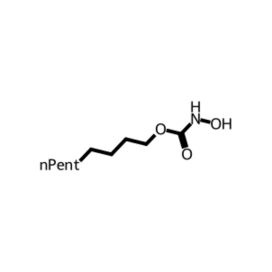 CCCCCCCCCOC(=O)NO